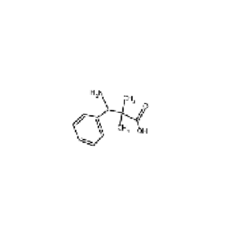 CC(C)(C(=O)O)C(N)c1ccccc1